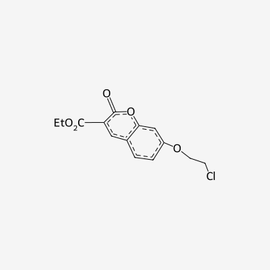 CCOC(=O)c1cc2ccc(OCCCl)cc2oc1=O